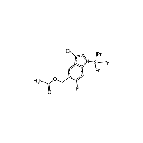 CC(C)[Si](C(C)C)(C(C)C)n1cc(Cl)c2cc(COC(N)=O)c(F)cc21